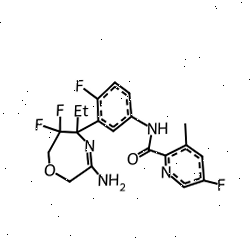 CCC1(c2cc(NC(=O)c3ncc(F)cc3C)ccc2F)N=C(N)COCC1(F)F